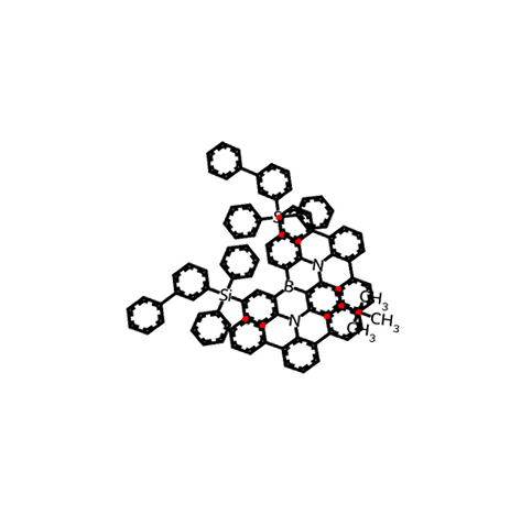 CC(C)(C)c1cc2c3c(c1)N(c1c(-c4ccccc4)cccc1-c1ccccc1)c1cc([Si](c4ccccc4)(c4ccccc4)c4cccc(-c5ccccc5)c4)ccc1B3c1cc([Si](c3ccccc3)(c3ccccc3)c3cccc(-c4ccccc4)c3)ccc1N2c1c(-c2ccccc2)cccc1-c1ccccc1